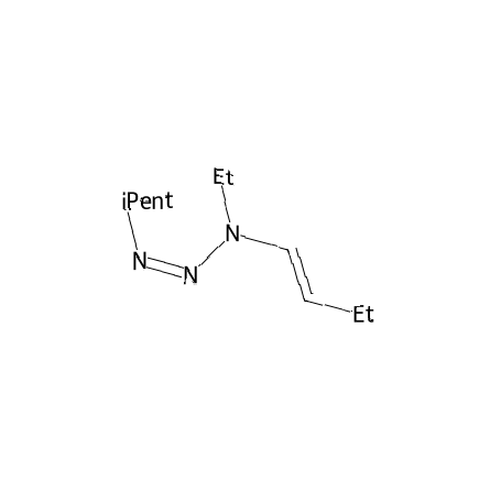 CC/C=C/N(CC)/N=N\C(C)CCC